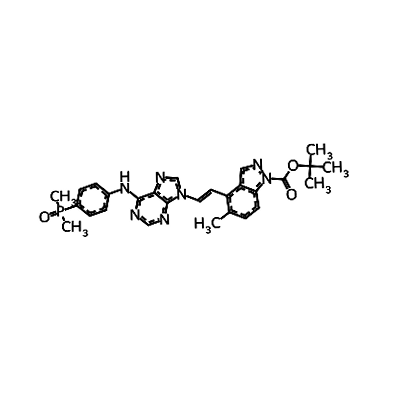 Cc1ccc2c(cnn2C(=O)OC(C)(C)C)c1/C=C/n1cnc2c(Nc3ccc(P(C)(C)=O)cc3)ncnc21